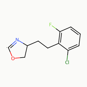 Fc1cccc(Cl)c1CCC1CO[C]=N1